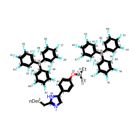 CCCCCCCCCCCc1ncc(-c2ccc([O][Al]([CH2]C)[CH2]C)cc2)[nH]1.Fc1c(F)c(F)c(B(c2c(F)c(F)c(F)c(F)c2F)c2c(F)c(F)c(F)c(F)c2F)c(F)c1F.Fc1c(F)c(F)c(B(c2c(F)c(F)c(F)c(F)c2F)c2c(F)c(F)c(F)c(F)c2F)c(F)c1F